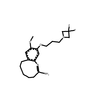 COc1cc2c(cc1OCCCN1CC(F)(F)C1)/N=C(/N)CCCCC2